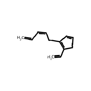 C=C/C=C\CC1=C(C=C)CC=C1